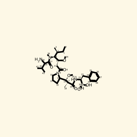 CC[C@H](C)[C@@H]([C@@H](CC(=O)N1CCCC1[C@H](OC)[C@@H](C)C(=O)N[C@@H](Cc1ccccc1)[PH](=O)O)OC)N(C)C(=O)C(N)C(C)C